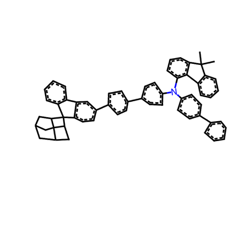 CC1(C)c2ccccc2-c2c(N(c3ccc(-c4ccccc4)cc3)c3ccc(-c4ccc(-c5ccc6c(c5)-c5ccccc5C65C6CC7CC8CC5C86C7)cc4)cc3)cccc21